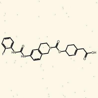 O=C(O)CC1=CCC(OC(=O)N2CCc3cc(NC(=O)Nc4ccccc4F)ccc3C2)CC1